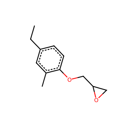 CCc1ccc(OCC2CO2)c(C)c1